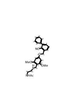 COc1cc(OCc2cccc(-c3ccccc3)c2C#N)cc(OC)c1CNCCNC(C)=O